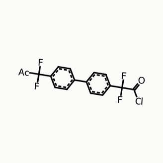 CC(=O)C(F)(F)c1ccc(-c2ccc(C(F)(F)C(=O)Cl)cc2)cc1